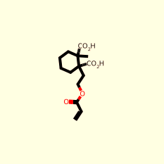 C=CC(=O)OCCC1(C(=O)O)CCCCC1(C)C(=O)O